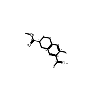 COC(=O)[C@H]1CCc2cc(C)c(C(C)=O)cc2C1